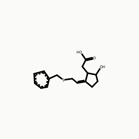 O=C(O)CC1C(=CCSCc2ccccc2)CCC1O